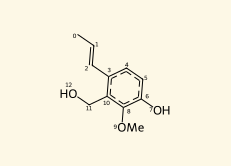 C/C=C/c1ccc(O)c(OC)c1CO